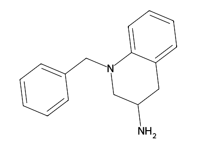 NC1Cc2ccccc2N(Cc2ccccc2)C1